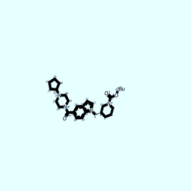 CC(C)(C)OC(=O)N1CCC[C@H](Cn2ccc3cc(C(=O)N4CCN(C5CCCC5)CC4)ccc32)C1